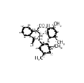 Cc1cc(C)cc([C@H]2[C@H](C(=O)O)c3ccccc3C(=O)N2c2cc(C)cc(C)c2)c1